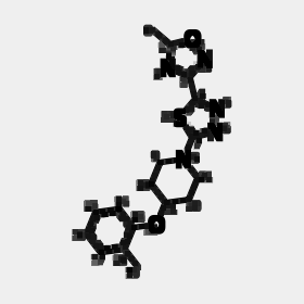 Cc1nc(-c2nnc(N3CCC(Oc4ccccc4C)CC3)s2)no1